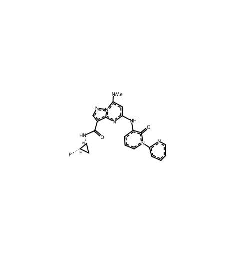 CNc1cc(Nc2cccn(-c3ccccn3)c2=O)nc2c(C(=O)N[C@@H]3C[C@@H]3F)cnn12